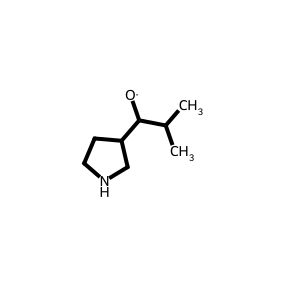 CC(C)C([O])C1CCNC1